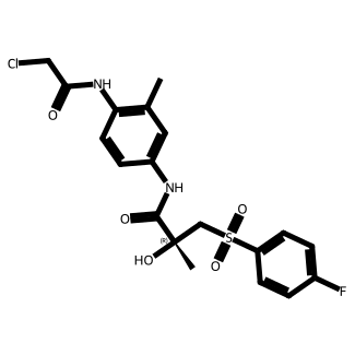 Cc1cc(NC(=O)[C@@](C)(O)CS(=O)(=O)c2ccc(F)cc2)ccc1NC(=O)CCl